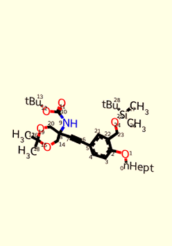 CCCCCCCOc1ccc(C#CC2(NC(=O)OC(C)(C)C)COC(C)(C)OC2)cc1CO[Si](C)(C)C(C)(C)C